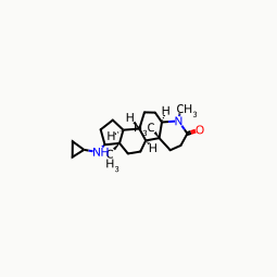 CN1C(=O)CC[C@]2(C)[C@H]3CC[C@]4(C)[C@@H](NC5CC5)CC[C@H]4[C@@H]3CC[C@@H]12